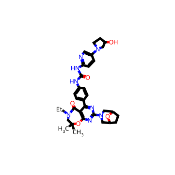 CCN1CC(C)(C)Oc2nc(N3CC4CCC(C3)O4)nc(-c3ccc(NC(=O)Nc4ccc(N5CCC(O)C5)cn4)cc3)c2C1=O